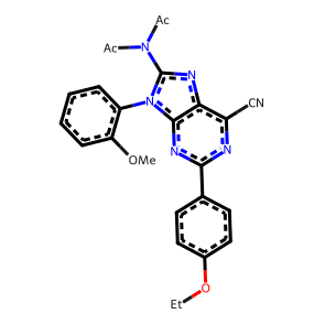 CCOc1ccc(-c2nc(C#N)c3nc(N(C(C)=O)C(C)=O)n(-c4ccccc4OC)c3n2)cc1